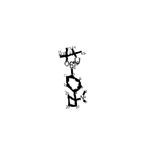 CN(C)C1(c2ccc(B3OC(C)(C)C(C)(C)O3)cc2)CCC1